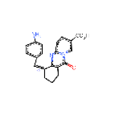 Nc1ccc(/C=C2/CCCc3c2nc2ccc(C(=O)O)cn2c3=O)cc1